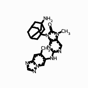 Cc1cc2ncnn2cc1Nc1ncc2c(n1)n(C13CC4CC(CC(N)(C4)C1)C3)c(=O)n2C